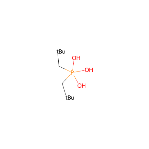 CC(C)(C)CP(O)(O)(O)CC(C)(C)C